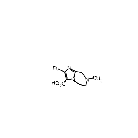 CCc1nc2n(c1C(=O)O)CCN(C)C2